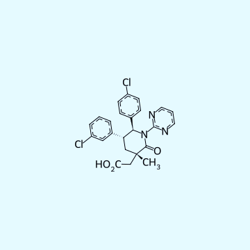 C[C@@]1(CC(=O)O)C[C@H](c2cccc(Cl)c2)[C@@H](c2ccc(Cl)cc2)N(c2ncccn2)C1=O